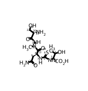 CC(O)[C@H](NC(=S)N[C@@H](CC(N)=O)C(=O)N(C)NC(=O)[C@@H](N)CO)C(=O)O